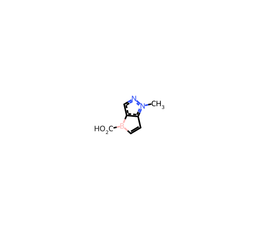 Cn1ncc2c1C=CB2C(=O)O